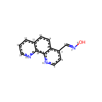 ON=Cc1ccnc2c1ccc1cccnc12